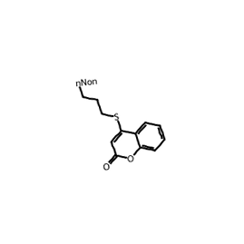 CCCCCCCCCCCCSc1cc(=O)oc2ccccc12